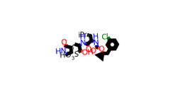 CC(C)CC(NC(=O)OC1(Cc2cccc(Cl)c2)CC1)C(=O)NC(C[C@@H]1CCNC1=O)C(O)S(=O)(=O)O